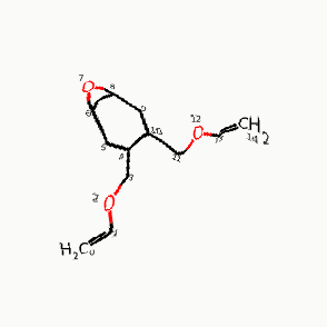 C=COCC1CC2OC2CC1COC=C